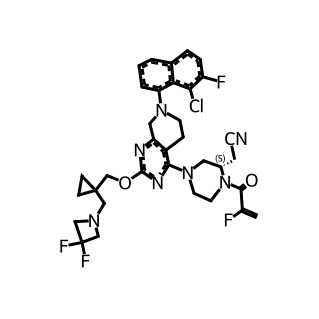 C=C(F)C(=O)N1CCN(c2nc(OCC3(CN4CC(F)(F)C4)CC3)nc3c2CCN(c2cccc4ccc(F)c(Cl)c24)C3)C[C@@H]1CC#N